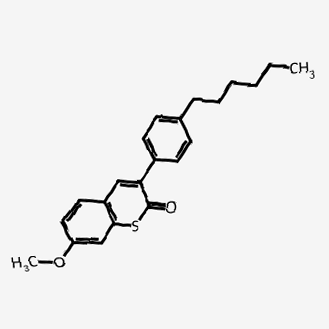 CCCCCCc1ccc(-c2cc3ccc(OC)cc3sc2=O)cc1